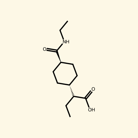 CCNC(=O)[C@H]1CC[C@H](C(CC)C(=O)O)CC1